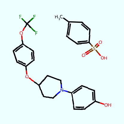 Cc1ccc(S(=O)(=O)O)cc1.Oc1ccc(N2CCC(Oc3ccc(OC(F)(F)F)cc3)CC2)cc1